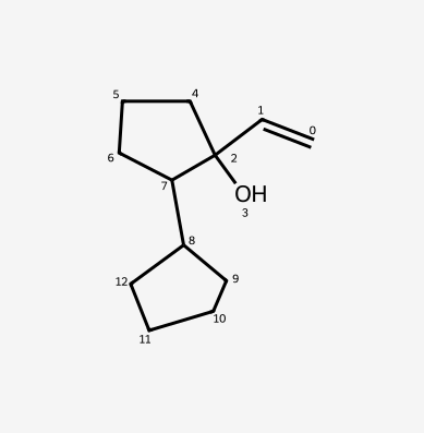 C=CC1(O)CCCC1C1CCCC1